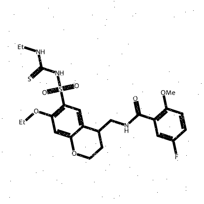 CCNC(=S)NS(=O)(=O)c1cc2c(cc1OCC)OCCC2CNC(=O)c1cc(F)ccc1OC